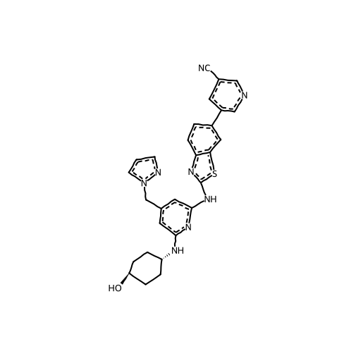 N#Cc1cncc(-c2ccc3nc(Nc4cc(Cn5cccn5)cc(N[C@H]5CC[C@H](O)CC5)n4)sc3c2)c1